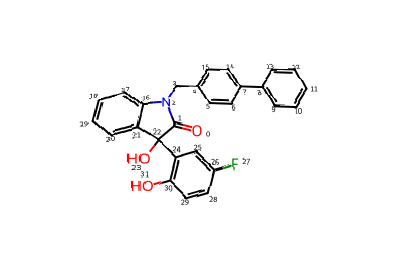 O=C1N(Cc2ccc(-c3ccccc3)cc2)c2ccccc2C1(O)c1cc(F)ccc1O